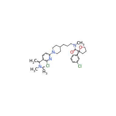 C=C(c1ccc(N2CCC(CCCN(C)C(=O)[C@@]3(c4cccc(Cl)c4)CCCO3)CC2)nc1Cl)N(C)C